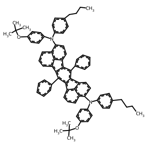 CCCCc1ccc(N(c2ccc(OC(C)(C)C)cc2)c2ccc3c4c(-c5ccccc5)c5c6ccc(N(c7ccc(CCCC)cc7)c7ccc(OC(C)(C)C)cc7)c7cccc(c5c(-c5ccccc5)c4c4cccc2c43)c76)cc1